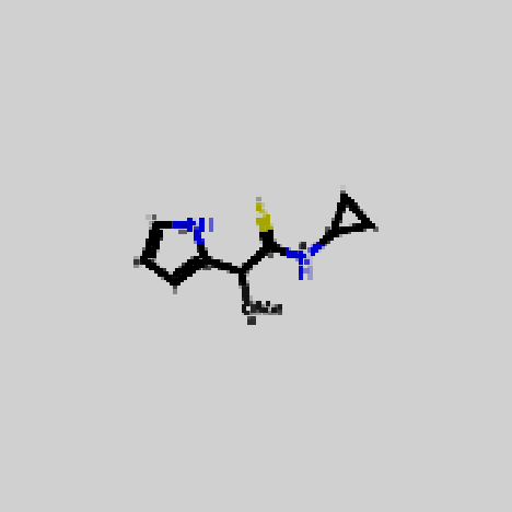 COC(C(=S)NC1CC1)c1ccc[nH]1